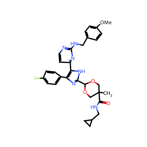 COc1ccc(CNc2nccc(-c3[nH]c(C4OCC(C)(C(=O)NCC5CC5)CO4)nc3-c3ccc(F)cc3)n2)cc1